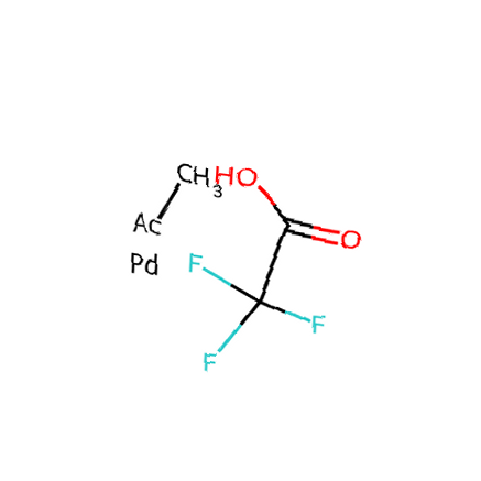 CC(C)=O.O=C(O)C(F)(F)F.[Pd]